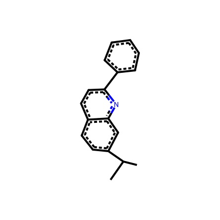 CC(C)c1ccc2ccc(-c3ccccc3)nc2c1